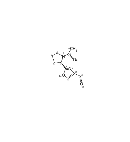 CC(=O)N1CCC[C@@H]1c1nc(C=O)co1